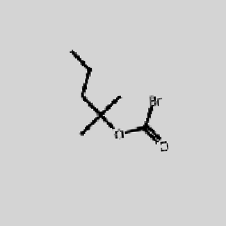 CCCC(C)(C)OC(=O)Br